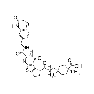 CC1(CNC(=O)C2CCc3sc4nc(C(=O)NCc5ccc6c(c5)NC(=O)CO6)[nH]c(=O)c4c32)CCC(C)(C(=O)O)CC1